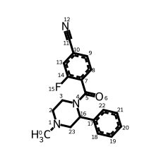 CN1CCN(C(=O)c2ccc(C#N)cc2F)C(c2ccccc2)C1